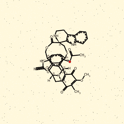 COC1=C(C)C(=O)C2=C(C1=O)[C@H]1C3[C@@H]4SC[C@]5(NCCc6c5[nH]c5ccccc65)C(=O)OC[C@@H](c5c6c(c(C)c(OC(C)=O)c54)OCO6)N3[C@@H](C#N)[C@@H](C2)N1C